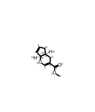 COC(=O)C1=CO[C@H]2C=CC[C@H]2C1